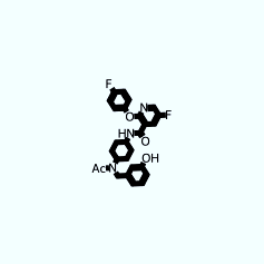 CC(=O)N(Cc1cccc(O)c1)C1CCC(NC(=O)c2cc(F)cnc2Oc2ccc(F)cc2)CC1